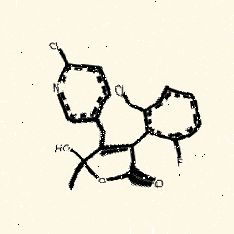 CC1(O)OC(=O)C(c2c(F)cccc2Cl)=C1c1ccc(Cl)nc1